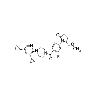 COCC1CCC(=O)N1c1ccc(C(=O)N2CCN(c3ncc(C4CC4)cc3C3CC3)CC2)c(F)c1